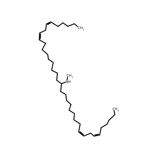 CCCCC/C=C\C/C=C\CCCCCCCCC(CCCCCCCC/C=C\C/C=C\CCCCC)NC